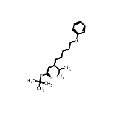 CC(C)C(CCCCCOc1ccccc1)CC(=O)OC(C)(C)C